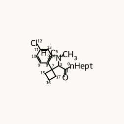 CCCCCCCC(=O)C(N(C)C)C1(c2ccc(Cl)cc2)CCC1